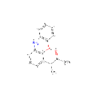 COC(=O)C(C)c1cccc(N)c1Oc1ccccc1